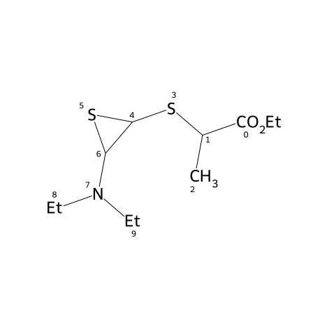 CCOC(=O)C(C)SC1SC1N(CC)CC